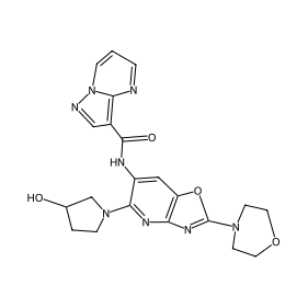 O=C(Nc1cc2oc(N3CCOCC3)nc2nc1N1CCC(O)C1)c1cnn2cccnc12